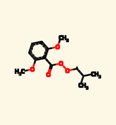 COc1cccc(OC)c1C(=O)OO[CH]C(C)C